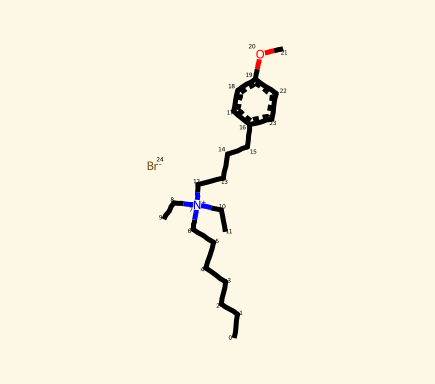 CCCCCCC[N+](CC)(CC)CCCCc1ccc(OC)cc1.[Br-]